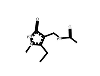 CCc1c(CNC(C)=O)c(=O)[nH]n1C